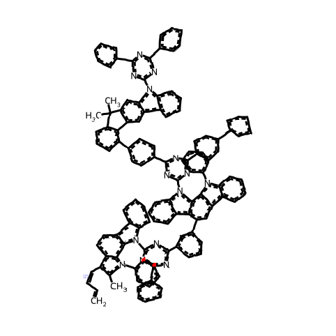 C=C/C=C\c1c(C)n(-c2ccccc2)c2c1ccc1c3ccccc3n(-c3nc(-c4ccccc4)nc(-c4cccc(-c5cc6c7ccccc7n(-c7ccccc7)c6c6c5c5ccccc5n6-c5nc(-c6ccc(-c7ccccc7)cc6)nc(-c6ccc(-c7cccc8c7-c7cc9c%10ccccc%10n(-c%10nc(-c%11ccccc%11)nc(-c%11ccccc%11)n%10)c9cc7C8(C)C)cc6)n5)c4)n3)c12